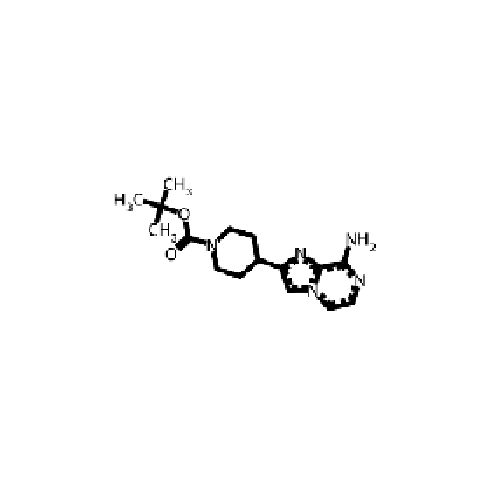 CC(C)(C)OC(=O)N1CCC(c2cn3ccnc(N)c3n2)CC1